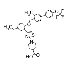 CCc1ccc(OCc2ccc(-c3ccc(OC(F)(F)F)cc3)cc2C)c(-c2csc(N3CCC(C(=O)O)CC3)n2)c1